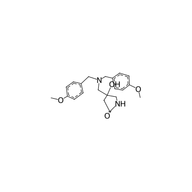 COc1ccc(CN(Cc2ccc(OC)cc2)CC2(O)CNC(=O)C2)cc1